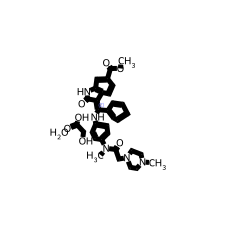 COC(=O)c1ccc2c(c1)NC(=O)/C2=C(\Nc1ccc(N(C)C(=O)CN2CCN(C)CC2)cc1)c1ccccc1.O.O=C(O)CO